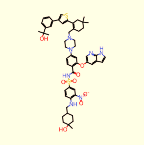 CC1(C)CCC(CN2CCN(c3ccc(C(=O)NS(=O)(=O)c4ccc(NCC5CCC(C)(O)CC5)c([N+](=O)[O-])c4)c(Oc4cnc5[nH]ccc5c4)c3)CC2)=C(c2cc(-c3cccc(C(C)(C)O)c3)cs2)C1